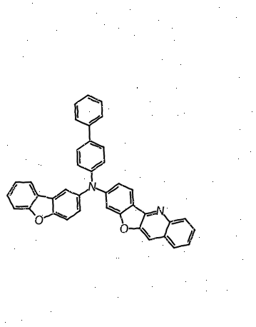 c1ccc(-c2ccc(N(c3ccc4c(c3)oc3cc5ccccc5nc34)c3ccc4oc5ccccc5c4c3)cc2)cc1